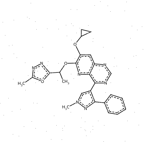 Cc1nnc(C(C)Oc2nc3c(-c4cn(C)nc4-c4ccccc4)ncnc3cc2OC2CC2)o1